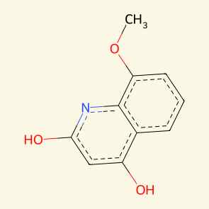 COc1cccc2c(O)cc(O)nc12